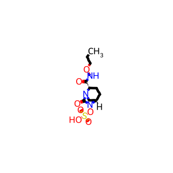 CCCONC(=O)[C@@H]1CC[C@@H]2CN1C(=O)N2OS(=O)(=O)O